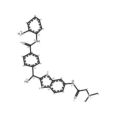 CN(C)CC(=O)Nc1ccc2nc(C(S)c3ccc(C(=O)Nc4ccccc4N)cc3)sc2c1